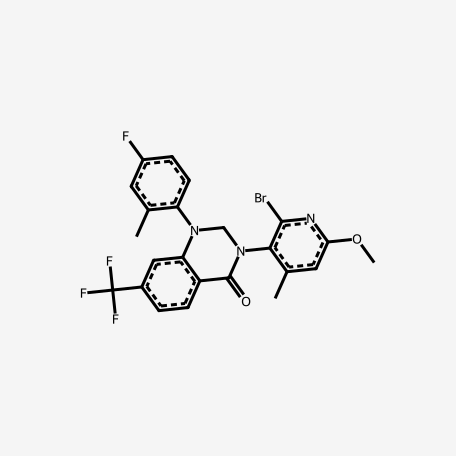 COc1cc(C)c(N2CN(c3ccc(F)cc3C)c3cc(C(F)(F)F)ccc3C2=O)c(Br)n1